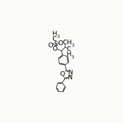 CC(C)C(OS(C)(=O)=O)c1ccc(-c2nnc(-c3ccccc3)o2)cc1